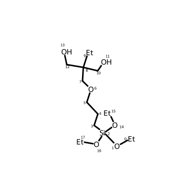 CCO[Si](CCCOCC(CC)(CO)CO)(OCC)OCC